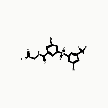 O=C(O)CNC(=O)c1cc(Br)cc(S(=O)(=O)c2cc(Br)cc(C(F)(F)F)c2)c1